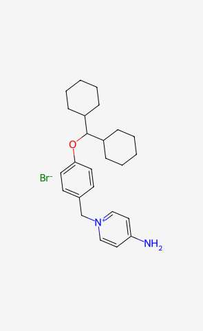 Nc1cc[n+](Cc2ccc(OC(C3CCCCC3)C3CCCCC3)cc2)cc1.[Br-]